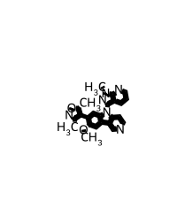 COc1cc2c3cnccc3n(-c3nn(C)c4ncccc34)c2cc1-c1c(C)noc1C